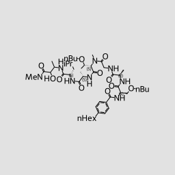 CCCCCCc1ccc(C(=O)N[C@H](COCCCC)C(=O)N[C@H](C)C(=O)NCC(=O)N(C)[C@H](C(=O)N[C@@H](C)C(=O)N[C@@H](CC(C)C)C(=O)NC(C)C(O)C(=O)NC)C(C)OCCCC)cc1